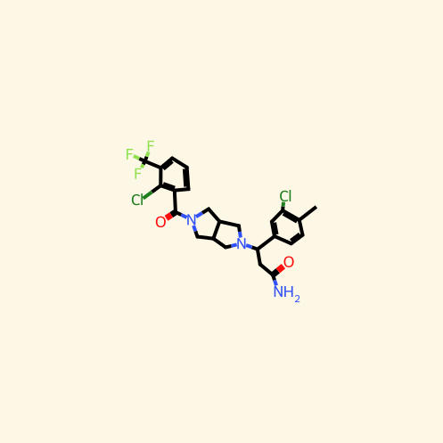 Cc1ccc(C(CC(N)=O)N2CC3CN(C(=O)c4cccc(C(F)(F)F)c4Cl)CC3C2)cc1Cl